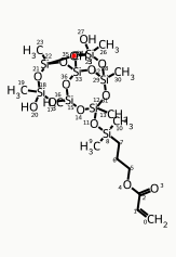 C=CC(=O)OCCC[Si](C)(C)O[Si]1(C)O[Si]2(C)O[Si](C)(O)O[Si]3(C)O[Si](C)(O)O[Si](C)(O1)O[Si](C)(O3)O2